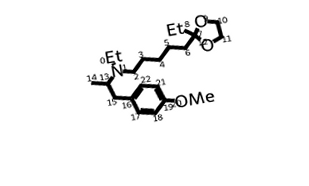 CCN(CCCCCC1(CC)OCCO1)C(C)Cc1ccc(OC)cc1